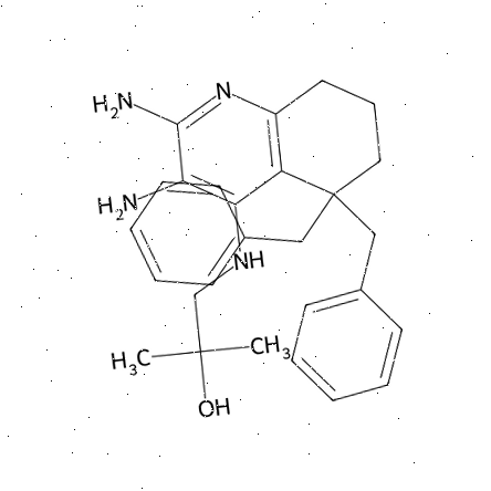 CC(C)(O)CNc1c(N)c(N)nc2c1C(Cc1ccccc1)(Cc1ccccc1)CCC2